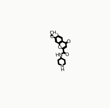 COc1ccc2c(=O)cc(C(=O)NC3CCNCC3)oc2c1